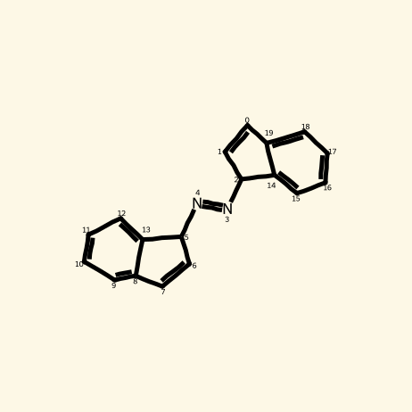 C1=CC(N=NC2C=Cc3ccccc32)c2ccccc21